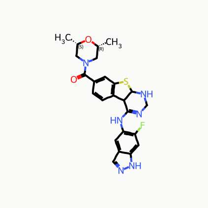 C[C@@H]1CN(C(=O)c2ccc3c(c2)SC2NCN=C(Nc4cc5cn[nH]c5cc4F)C32)C[C@H](C)O1